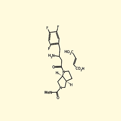 CNC(=O)N1C[C@@H]2CCN(C(=O)CC(N)Cc3cc(F)c(F)cc3F)[C@@H]2C1.O=C(O)C=CC(=O)O